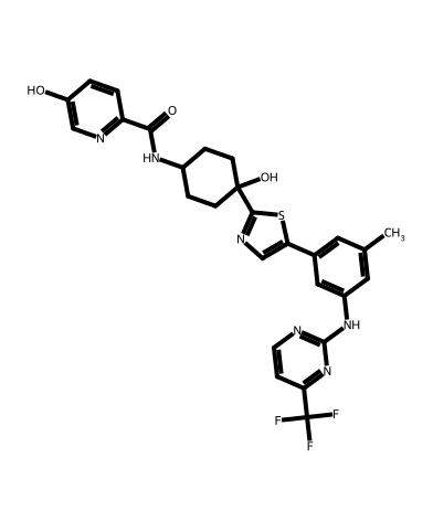 Cc1cc(Nc2nccc(C(F)(F)F)n2)cc(-c2cnc(C3(O)CCC(NC(=O)c4ccc(O)cn4)CC3)s2)c1